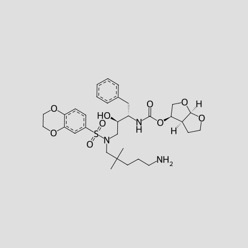 CC(C)(CCCN)CN(C[C@@H](O)[C@H](Cc1ccccc1)NC(=O)O[C@H]1CO[C@H]2OCC[C@H]21)S(=O)(=O)c1ccc2c(c1)OCCO2